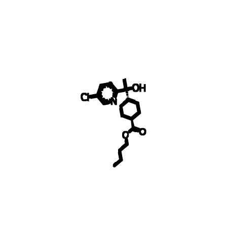 CCCCOC(=O)[C@H]1CC[C@H](C(C)(O)c2ccc(Cl)cn2)CC1